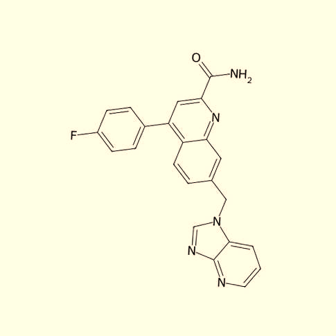 NC(=O)c1cc(-c2ccc(F)cc2)c2ccc(Cn3cnc4ncccc43)cc2n1